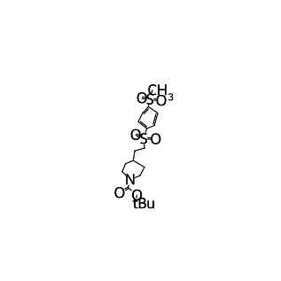 CC(C)(C)OC(=O)N1CCC(CCS(=O)(=O)c2ccc(S(C)(=O)=O)cc2)CC1